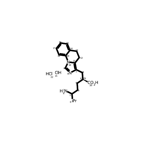 CC(C)C(N)CC[C@@H](Cc1ncn2c1CCc1ccccc1-2)C(=O)O.Cl.Cl